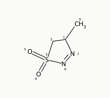 CC1CS(=O)(=O)N=N1